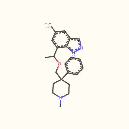 CC(OCC1(c2ccccc2)CCN(C)CC1)c1cc(C(F)(F)F)cc2cn[nH]c12